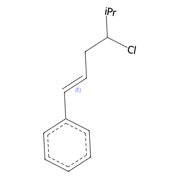 CC(C)C(Cl)C/C=C/c1ccccc1